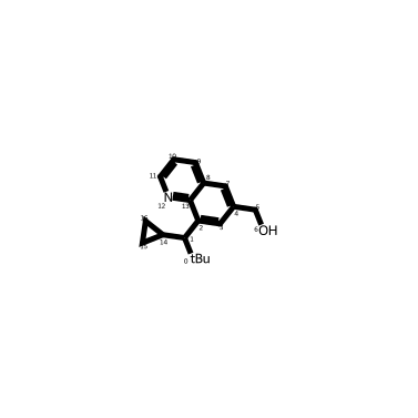 CC(C)(C)[C](c1cc(CO)cc2cccnc12)C1CC1